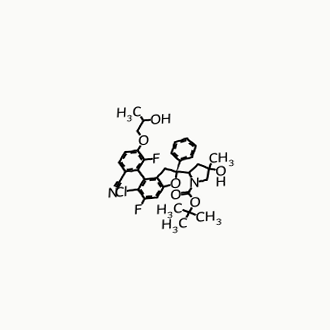 CC(O)COc1ccc(C#N)c(-c2c(Cl)c(F)cc3c2C[C@](c2ccccc2)(C2CC(C)(O)CN2C(=O)OC(C)(C)C)O3)c1F